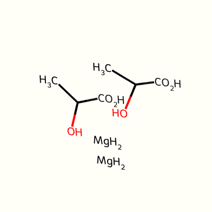 CC(O)C(=O)O.CC(O)C(=O)O.[MgH2].[MgH2]